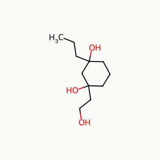 CCCC1(O)CCCC(O)(CCO)C1